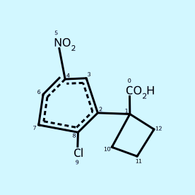 O=C(O)C1(c2cc([N+](=O)[O-])ccc2Cl)CCC1